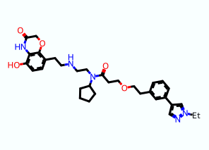 CCn1cc(-c2cccc(CCOCCC(=O)N(CCNCCc3ccc(O)c4c3OCC(=O)N4)C3CCCC3)c2)cn1